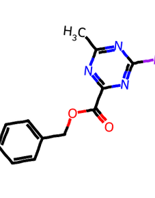 Cc1nc(I)nc(C(=O)OCc2ccccc2)n1